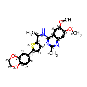 COc1cc2nc(C)nc(NC(C)c3ccc(-c4ccc5c(c4)OCCO5)s3)c2cc1OC